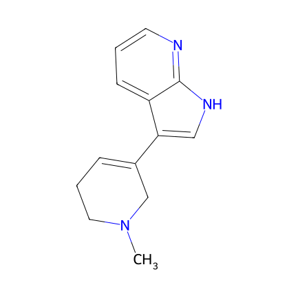 CN1CCC=C(c2c[nH]c3ncccc23)C1